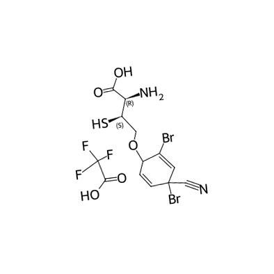 N#CC1(Br)C=CC(OC[C@@H](S)[C@H](N)C(=O)O)C(Br)=C1.O=C(O)C(F)(F)F